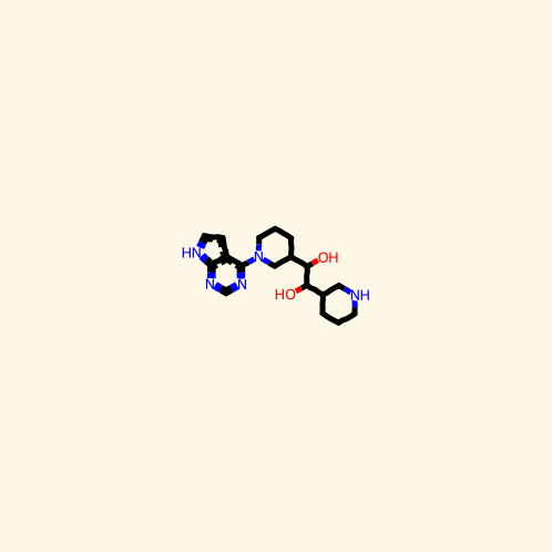 OC(C1CCCNC1)C(O)C1CCCN(c2ncnc3[nH]ccc23)C1